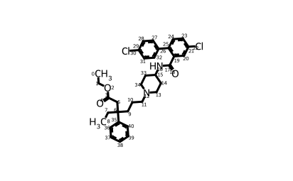 CCOC(=O)CC(CC)(CCCN1CCC(NC(=O)c2cc(Cl)ccc2-c2ccc(Cl)cc2)CC1)c1ccccc1